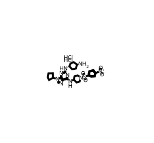 Cl.Cl.N[C@H]1CC[C@H](Nc2nc(NC3CCN(S(=O)(=O)c4ccc([N+](=O)[O-])cc4)CC3)c3ncn(C4CCCC4)c3n2)CC1